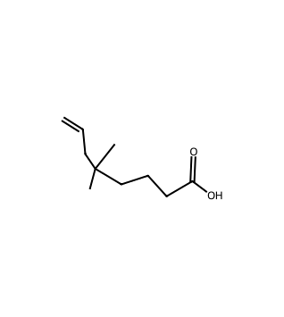 C=CCC(C)(C)CCCC(=O)O